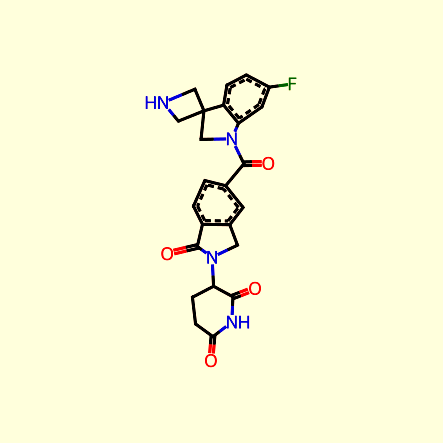 O=C1CCC(N2Cc3cc(C(=O)N4CC5(CNC5)c5ccc(F)cc54)ccc3C2=O)C(=O)N1